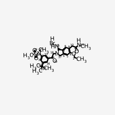 Br.CCOc1cc2c(cc1CC(=O)NC)C(=N)N(CC(=O)c1cc(N(C)S(C)(=O)=O)cc(C(C)(C)C)c1)C2